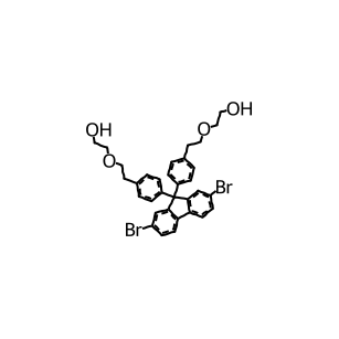 OCCOCCc1ccc(C2(c3ccc(CCOCCO)cc3)c3cc(Br)ccc3-c3ccc(Br)cc32)cc1